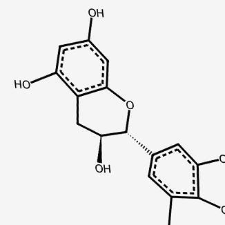 Cc1cc([C@H]2Oc3cc(O)cc(O)c3C[C@@H]2O)cc(O)c1O